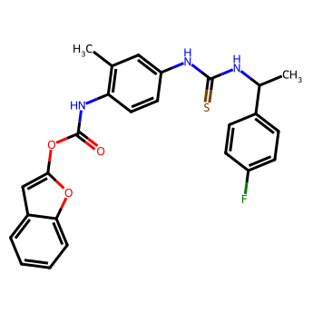 Cc1cc(NC(=S)NC(C)c2ccc(F)cc2)ccc1NC(=O)Oc1cc2ccccc2o1